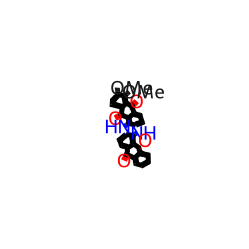 COc1ccc2c(=O)c3c(ccc4[nH]c5c(ccc6c(=O)c7ccccc7c(=O)c65)[nH]c43)c(=O)c2c1OC